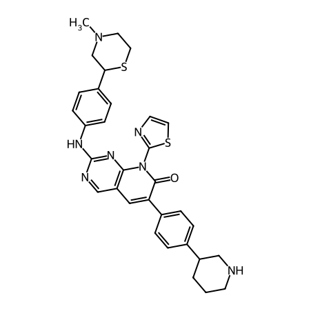 CN1CCSC(c2ccc(Nc3ncc4cc(-c5ccc(C6CCCNC6)cc5)c(=O)n(-c5nccs5)c4n3)cc2)C1